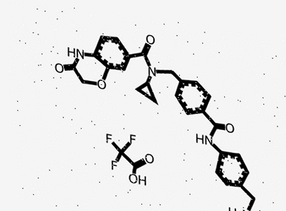 NCc1ccc(NC(=O)c2ccc(CN(C(=O)c3ccc4c(c3)OCC(=O)N4)C3CC3)cc2)cc1.O=C(O)C(F)(F)F